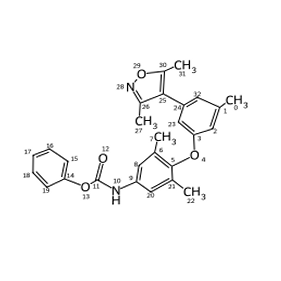 Cc1cc(Oc2c(C)cc(NC(=O)Oc3ccccc3)cc2C)cc(-c2c(C)noc2C)c1